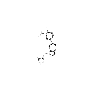 Cc1nonc1Cn1ncc2ncc(-c3ccc(F)c(C(F)F)c3)cc21